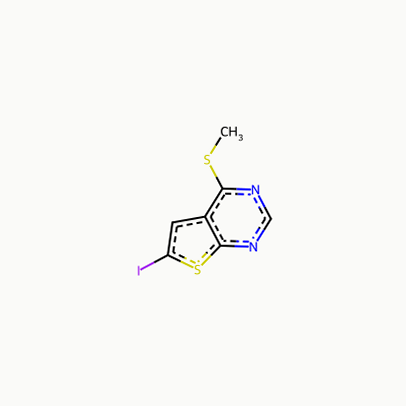 CSc1ncnc2sc(I)cc12